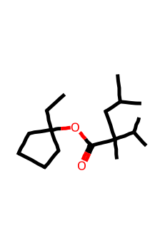 CCC1(OC(=O)C(C)(CC(C)C)C(C)C)CCCC1